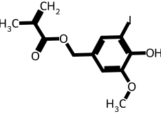 C=C(C)C(=O)OCc1cc(I)c(O)c(OC)c1